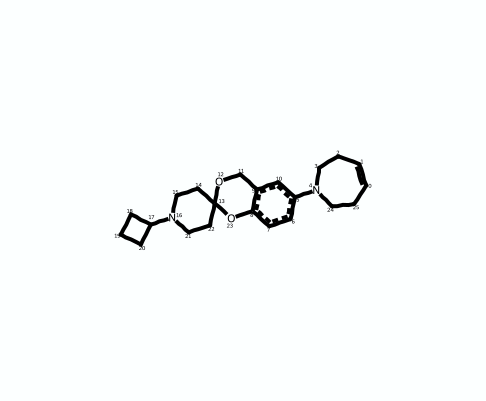 C1=CCCN(c2ccc3c(c2)COC2(CCN(C4CCC4)CC2)O3)CC1